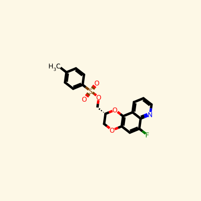 Cc1ccc(S(=O)(=O)OC[C@H]2COc3cc(F)c4ncccc4c3O2)cc1